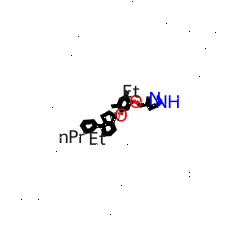 CCCc1cccc(-c2cccc3c2CC[C@@H]3Oc2cc(OCc3cc4n(c3)N4)c(CC)cc2C)c1CC